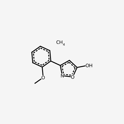 C.COc1ccccc1-c1cc(O)on1